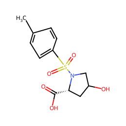 Cc1ccc(S(=O)(=O)N2CC(O)C[C@@H]2C(=O)O)cc1